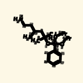 CC(C)O[Si](OC(C)C)(OC(C)(C)CC(N)CCN)c1ccccc1